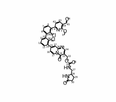 COc1nc(-c2cccc(-c3cccc(-c4ccn5c(=O)c(COC(=O)NCC6CCC(=O)N6)cnc5c4)c3Cl)c2Cl)ccc1C=O